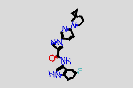 O=C(Nc1c[nH]c2ccc(F)cc12)c1cnn(-c2ccc(N3CCCC4(CC4)C3)nc2)c1